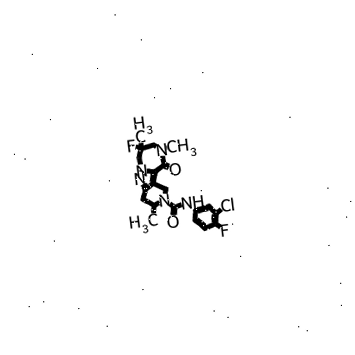 CC1Cc2nn3c(c2CN1C(=O)Nc1ccc(F)c(Cl)c1)C(=O)N(C)CC(C)(F)C3